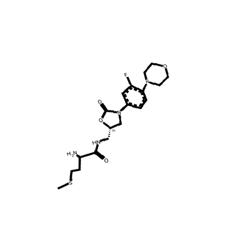 CSCCC(N)C(=O)NC[C@H]1CN(c2ccc(N3CCOCC3)c(F)c2)C(=O)O1